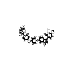 Cn1nc(C2CCC(=O)NC2=O)c2ccc(N3CCC(OC4CCN(C(=O)OC(C)(C)C)CC4)CC3)cc21